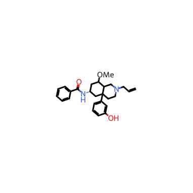 C=CCN1CCC2(c3cccc(O)c3)C[C@H](NC(=O)c3ccccc3)CC(OC)C2C1